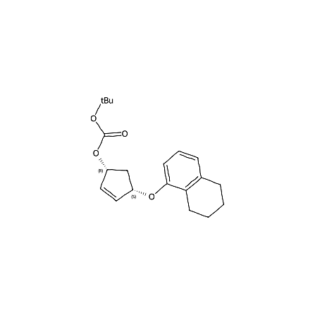 CC(C)(C)OC(=O)O[C@H]1C=C[C@@H](Oc2cccc3c2CCCC3)C1